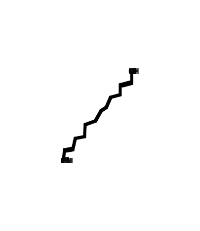 CCCC/C=C/CCCCCCCC/C=C/O